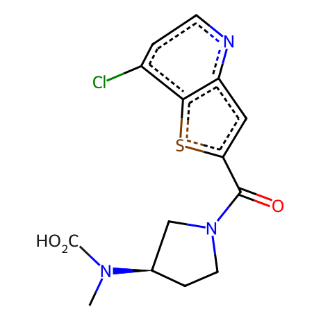 CN(C(=O)O)[C@@H]1CCN(C(=O)c2cc3nccc(Cl)c3s2)C1